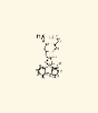 CCCCCCCCC1(CCCCCCCC)c2ccccc2-c2cccc(I)c21